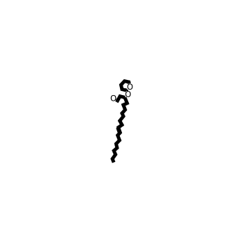 CCCCCCCCC=CCCCCCCCC(CC=O)OC1CCCCO1